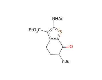 CCCCC1CCc2c(sc(NC(C)=O)c2C(=O)OCC)C1=O